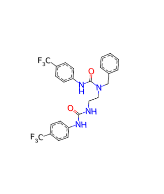 O=C(NCCN(Cc1ccccc1)C(=O)Nc1ccc(C(F)(F)F)cc1)Nc1ccc(C(F)(F)F)cc1